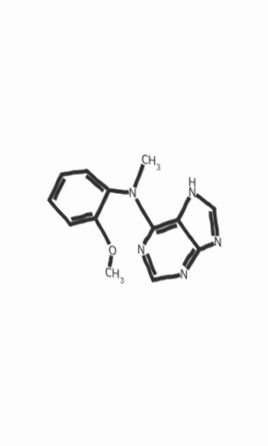 COc1ccccc1N(C)c1ncnc2nc[nH]c12